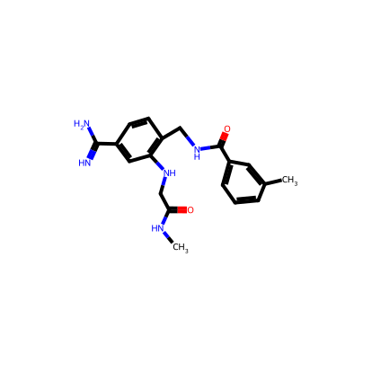 CNC(=O)CNc1cc(C(=N)N)ccc1CNC(=O)c1cccc(C)c1